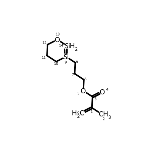 C=C(C)C(=O)OCCC[SiH]1CCCO[SiH2]1